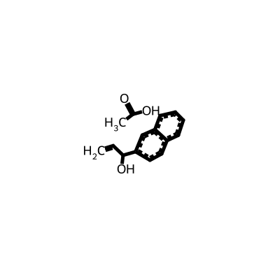 C=CC(O)c1ccc2ccccc2c1.CC(=O)O